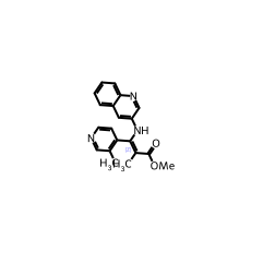 COC(=O)/C(C)=C(\Nc1cnc2ccccc2c1)c1ccncc1C